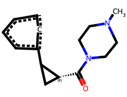 CN1CCN(C(=O)[C@@H]2CC2c2ccccc2)CC1